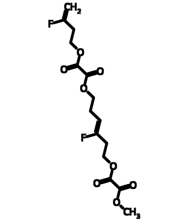 C=C(F)CCOC(=O)C(=O)OCC/C=C(\F)CCOC(=O)C(=O)OC